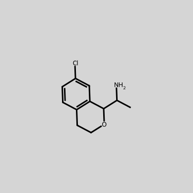 CC(N)C1OCCc2ccc(Cl)cc21